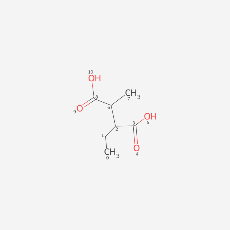 CCC(C(=O)O)C(C)C(=O)O